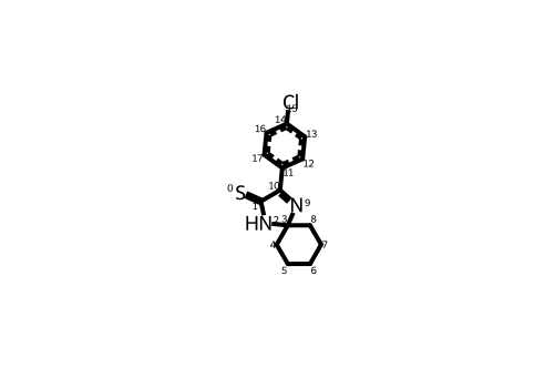 S=C1NC2(CCCCC2)N=C1c1ccc(Cl)cc1